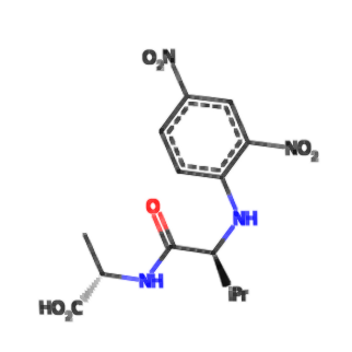 CC(C)[C@H](Nc1ccc([N+](=O)[O-])cc1[N+](=O)[O-])C(=O)N[C@@H](C)C(=O)O